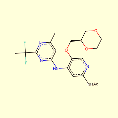 CC(=O)Nc1cc(Nc2cc(C)nc(C(C)(F)F)n2)c(OC[C@H]2COCCO2)cn1